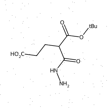 CC(C)(C)OC(=O)C(CCC(=O)O)C(=O)NN